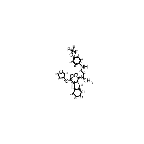 CN(CCNc1ccc(OC(F)(F)F)cc1)C(=O)[C@H](CC1CCCCC1)NC(=O)O[C@H]1CCOC1